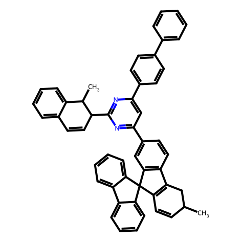 CC1C=CC2=C(C1)c1ccc(-c3cc(-c4ccc(-c5ccccc5)cc4)nc(C4C=Cc5ccccc5C4C)n3)cc1C21c2ccccc2-c2ccccc21